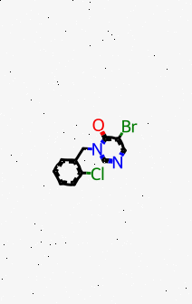 O=c1c(Br)cncn1Cc1ccccc1Cl